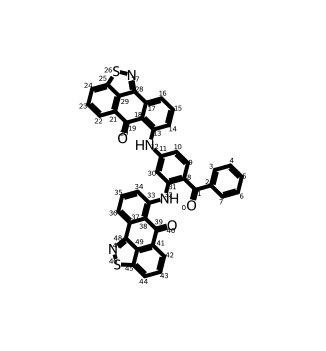 O=C(c1ccccc1)c1ccc(Nc2cccc3c2C(=O)c2cccc4snc-3c24)cc1Nc1cccc2c1C(=O)c1cccc3snc-2c13